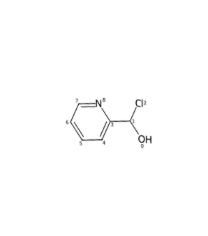 OC(Cl)c1ccccn1